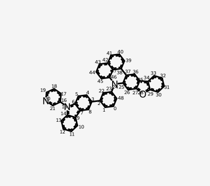 c1cc(-c2ccc3c(c2)c2ccccc2n3-c2cccnc2)cc(N2c3cc4oc5ccccc5c4cc3-c3cccc4cccc2c34)c1